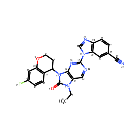 CCn1c(=O)n(C2CCOc3cc(F)ccc32)c2nc(-n3cnc4ccc(C#N)cc43)ncc21